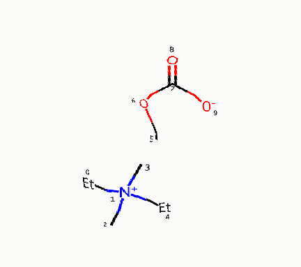 CC[N+](C)(C)CC.COC(=O)[O-]